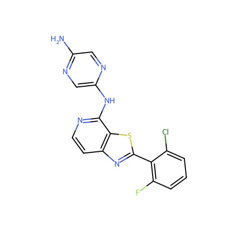 Nc1cnc(Nc2nccc3nc(-c4c(F)cccc4Cl)sc23)cn1